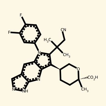 CC(C)(CC#N)c1c([C@@H]2CC[C@@](C)(C(=O)O)OC2)c2nc3[nH]ncc3cc2n1-c1ccc(F)c(F)c1